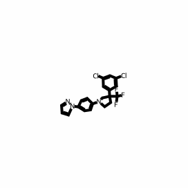 FC(F)(F)C1(c2cc(Cl)cc(Cl)c2)CCN(c2ccc(-n3cccn3)cc2)C1